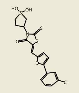 O=C1/C(=C/c2ccc(-c3cccc(Cl)c3)o2)SC(=S)N1C1CCS(O)(O)C1